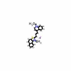 CC[n+]1ccc(/C=C/C=C2\Sc3ccc4ccccc4c3N2C)c2ccccc21.[I-]